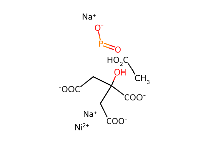 CC(=O)O.O=C([O-])CC(O)(CC(=O)[O-])C(=O)[O-].O=P[O-].[Na+].[Na+].[Ni+2]